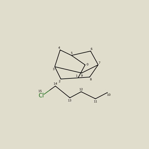 C1C2CC3CC1CC(C2)C3.CCCCCCl